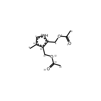 CC(=O)OCc1[nH]cc(C)c1COC(C)=O